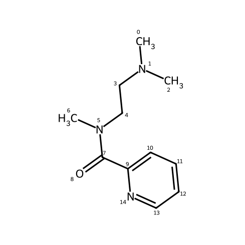 CN(C)CCN(C)C(=O)c1ccccn1